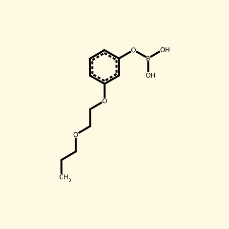 CCCOCCOc1cccc(OB(O)O)c1